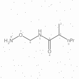 CCCC(C)C(=O)NCON